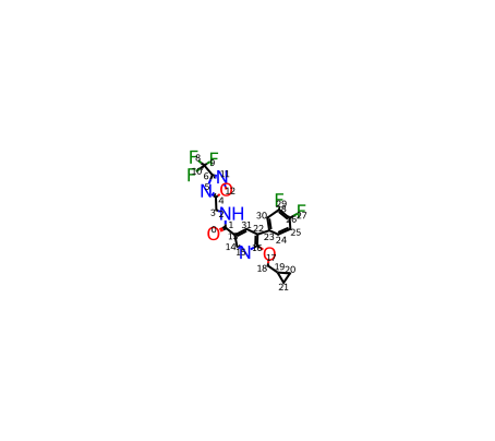 O=C(NCc1nc(C(F)(F)F)no1)c1cnc(OCC2CC2)c(-c2ccc(F)c(F)c2)c1